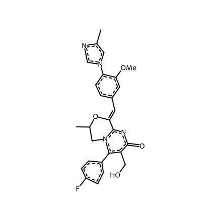 COc1cc(/C=C2\OC(C)Cn3c2nc(=O)c(CO)c3-c2ccc(F)cc2)ccc1-n1cnc(C)c1